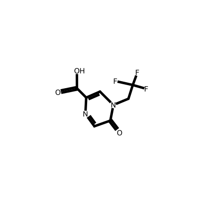 O=C(O)c1cn(CC(F)(F)F)c(=O)cn1